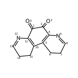 O=C1C(=O)C2=C(CCC=N2)C2=C1N=CCC2